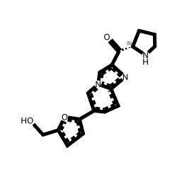 O=C(c1cn2cc(-c3ccc(CO)o3)ccc2n1)[C@@H]1CCCN1